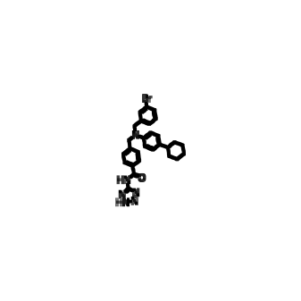 O=C(Nc1nn[nH]n1)c1ccc(CN(Cc2cccc(Br)c2)c2ccc(C3CCCCC3)cc2)cc1